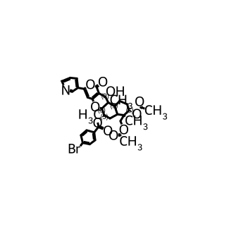 CC(=O)OCC1(C)C2C[C@H](OC(=O)c3ccc(Br)cc3)[C@@]3(C)Oc4cc(-c5cccnc5)oc(=O)c4[C@H](O)C3[C@@]2(C)CC[C@@H]1OC(C)=O